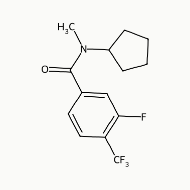 CN(C(=O)c1ccc(C(F)(F)F)c(F)c1)C1CCCC1